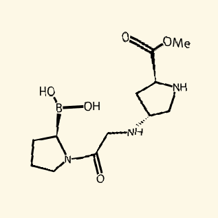 COC(=O)[C@@H]1C[C@@H](NCC(=O)N2CCC[C@H]2B(O)O)CN1